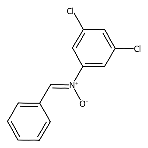 [O-][N+](=Cc1ccccc1)c1cc(Cl)cc(Cl)c1